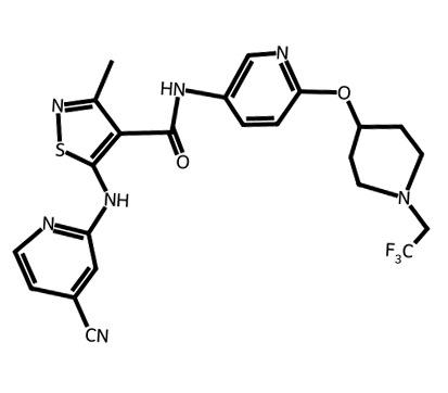 Cc1nsc(Nc2cc(C#N)ccn2)c1C(=O)Nc1ccc(OC2CCN(CC(F)(F)F)CC2)nc1